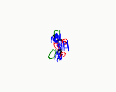 COCCc1c(NC(=O)Nc2cc(Cl)nc(C(=O)N(C)C)c2)cnc2cc(Cl)nn12